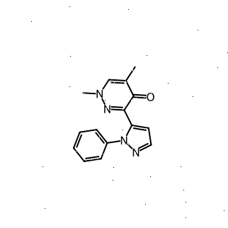 Cc1cn(C)nc(-c2ccnn2-c2ccccc2)c1=O